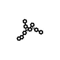 C1CCC(C2CCC(N3C4CCCCC4C4C5C6CC(C7CCCCC7)CCC6N(C6CCC(C7CCC8CCCCC8C7)CC6)C5CCC43)CC2)CC1